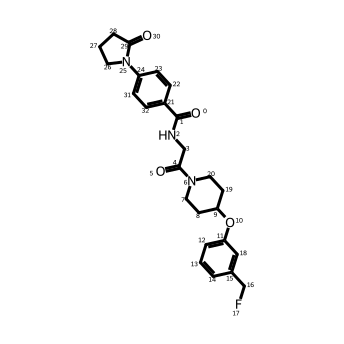 O=C(NCC(=O)N1CCC(Oc2cccc(CF)c2)CC1)c1ccc(N2CCCC2=O)cc1